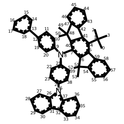 CC(C)(C)c1c2c(c(N(c3ccc(-c4ccccc4)cc3)c3ccc(-n4c5ccccc5c5ccccc54)cc3)c3c1-c1ccccc1C3(C)C)C(C)(C)c1ccccc1-2